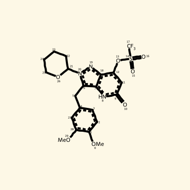 COc1ccc(Cc2c3[nH]c(=O)cc(OS(=O)(=O)C(F)(F)F)c3nn2C2CCCCO2)cc1OC